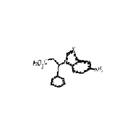 Nc1ccc2c(c1)ncn2C(CC(=O)O)c1ccccc1